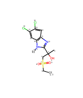 CCn1c(C(C)(O)CS(=O)(=O)CC(F)(F)F)nc2cc(Cl)c(Cl)cc21